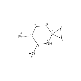 CC(C)[C@@H]1CCC2(CC2)NC1O